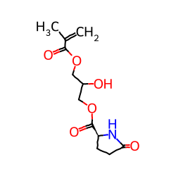 C=C(C)C(=O)OCC(O)COC(=O)[C@@H]1CCC(=O)N1